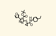 CCC1=CC=C(NC(=O)C2(Sc3nnc(-c4ccoc4)n3C(=O)OC(C)(C)C)CC2)CC1